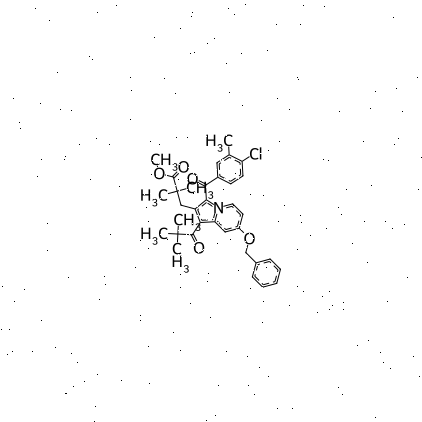 COC(=O)C(C)(C)Cc1c(C(=O)C(C)(C)C)c2cc(OCc3ccccc3)ccn2c1C(=O)c1ccc(Cl)c(C)c1